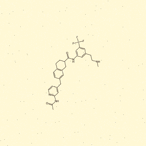 CNCCc1cc(NC(=O)C2CCc3ccc(Cc4ccnc(NC(C)=O)c4)cc3C2)cc(C(F)(F)F)c1